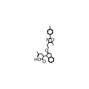 C=C(C)CC(C(=O)O)C1c2ccccc2C[C@@H]1OCCc1nc(-c2ccc(C)cc2)oc1C